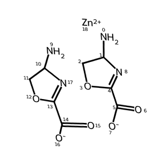 NC1COC(C(=O)[O-])=N1.NC1COC(C(=O)[O-])=N1.[Zn+2]